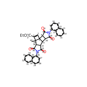 CCOC(=O)C1=CC23C4C(=O)N(c5cccc6ccccc56)C(=O)C4C2C2C(=O)N(c4cccc5ccccc45)C(=O)C2C13C